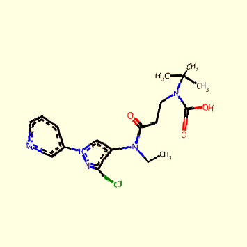 CCN(C(=O)CCN(C(=O)O)C(C)(C)C)c1cn(-c2cccnc2)nc1Cl